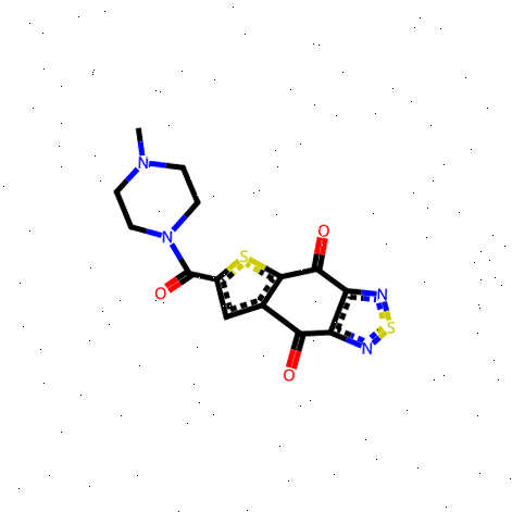 CN1CCN(C(=O)c2cc3c(s2)C(=O)c2nsnc2C3=O)CC1